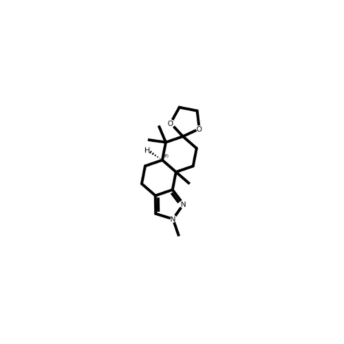 Cn1cc2c(n1)C1(C)CCC3(OCCO3)C(C)(C)[C@@H]1CC2